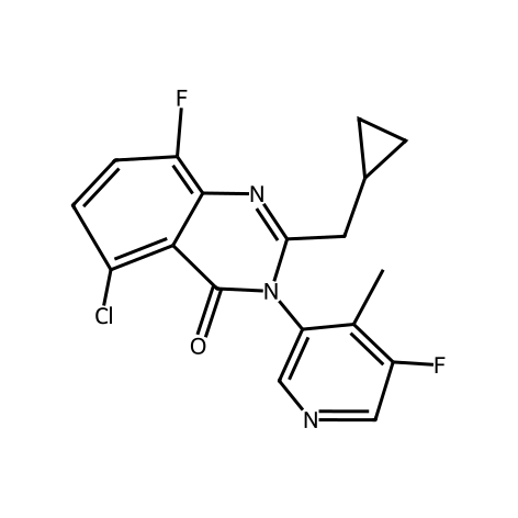 Cc1c(F)cncc1-n1c(CC2CC2)nc2c(F)ccc(Cl)c2c1=O